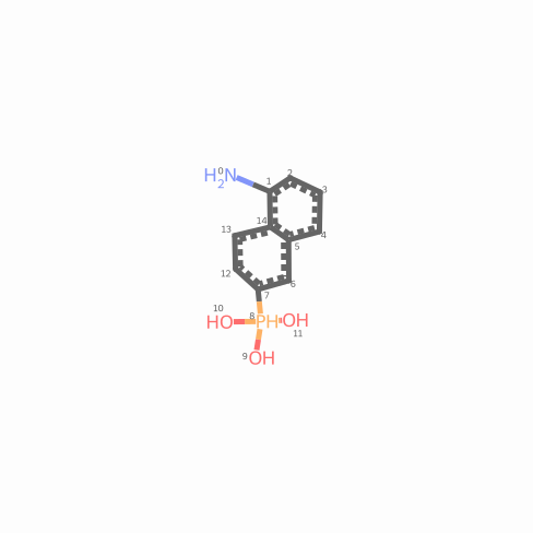 Nc1cccc2cc([PH](O)(O)O)ccc12